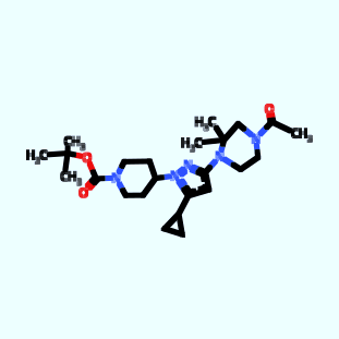 CC(=O)N1CCN(c2cc(C3CC3)n(C3CCN(C(=O)OC(C)(C)C)CC3)n2)C(C)(C)C1